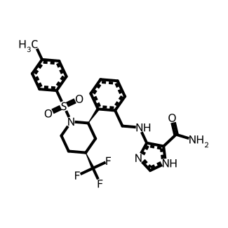 Cc1ccc(S(=O)(=O)N2CC[C@H](C(F)(F)F)C[C@@H]2c2ccccc2CNc2nc[nH]c2C(N)=O)cc1